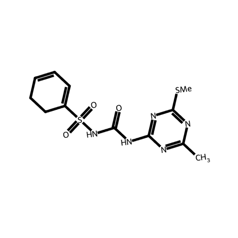 CSc1nc(C)nc(NC(=O)NS(=O)(=O)C2=CC=CCC2)n1